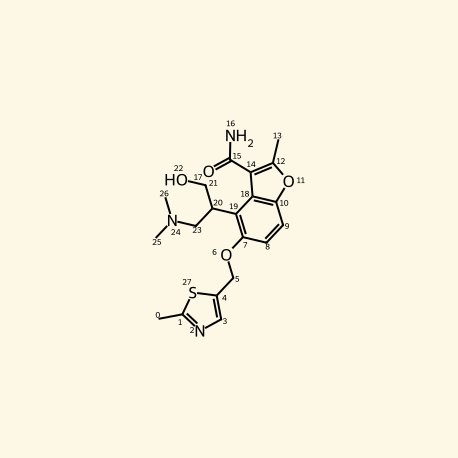 Cc1ncc(COc2ccc3oc(C)c(C(N)=O)c3c2C(CO)CN(C)C)s1